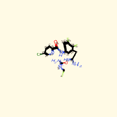 N/C(=N/CF)ON[C@H](N)Cc1cc(NC(=O)c2ccc(Cl)cn2)cc(F)c1F